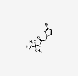 CC(C)(C)OC(=O)Cn1ccc(Br)n1